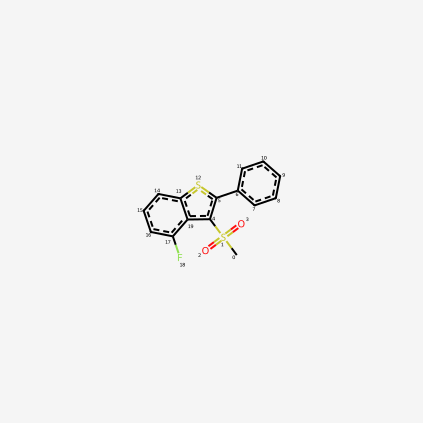 CS(=O)(=O)c1c(-c2ccccc2)sc2cccc(F)c12